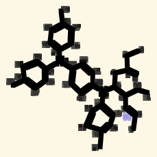 C=C(CC)CC(C(/C=C/C)CC)N(c1ccc(C)cc1)c1ccc(N(c2ccc(C)cc2)c2ccc(C)cc2)cc1